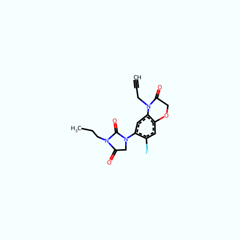 C#CCN1C(=O)COc2cc(F)c(N3CC(=O)N(CCC)C3=O)cc21